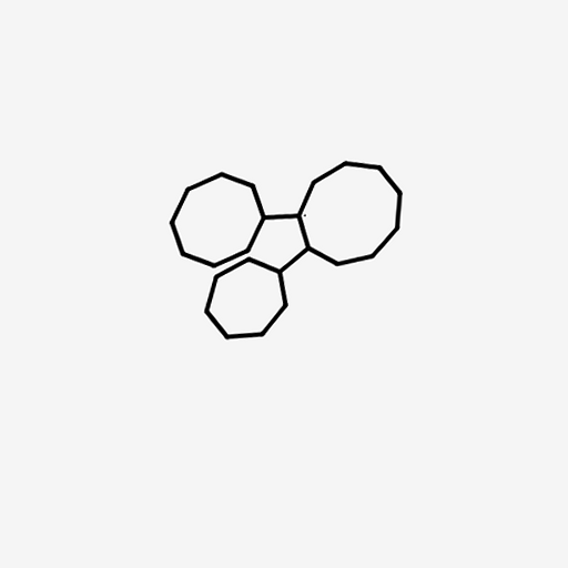 C1CCCC([C]2CCCCCCCC2C2CCCCCC2)CCC1